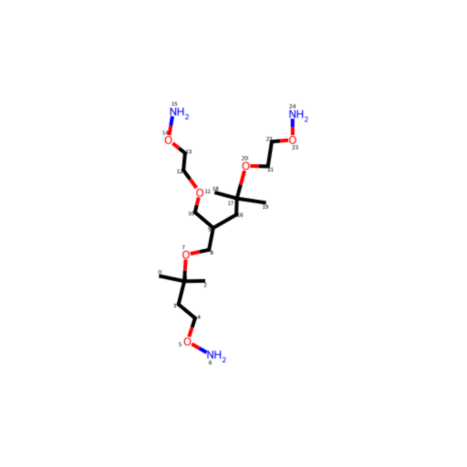 CC(C)(CCON)OCC(COCCON)CC(C)(C)OCCON